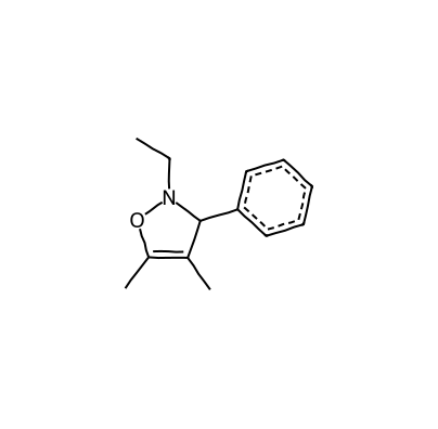 CCN1OC(C)=C(C)C1c1ccccc1